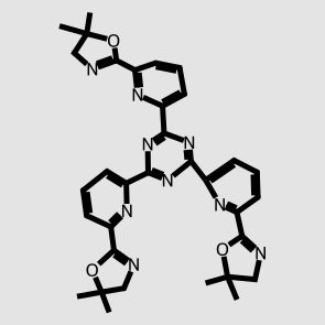 CC1(C)CN=C(c2cccc(-c3nc(-c4cccc(C5=NCC(C)(C)O5)n4)nc(-c4cccc(C5=NCC(C)(C)O5)n4)n3)n2)O1